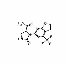 NC(=O)C1CNC(=O)N1c1cc(C(F)(F)F)c2c(n1)OCC2